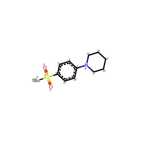 CC(C)(C)S(=O)(=O)c1ccc(N2CCCCC2)cc1